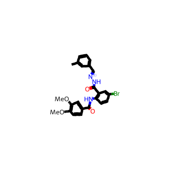 COc1ccc(C(=O)Nc2ccc(Br)cc2C(=O)N/N=C/c2cccc(C)c2)cc1OC